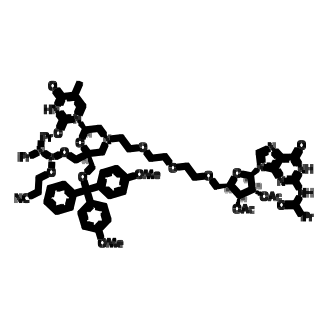 COc1ccc(C(OC[C@]2(COP(OCCC#N)N(C(C)C)C(C)C)CN(CCOCCOCCOC[C@H]3O[C@@H](n4cnc5c(=O)[nH]c(NC(=O)C(C)C)nc54)[C@H](OC(C)=O)[C@@H]3OC(C)=O)C[C@H](n3cc(C)c(=O)[nH]c3=O)O2)(c2ccccc2)c2ccc(OC)cc2)cc1